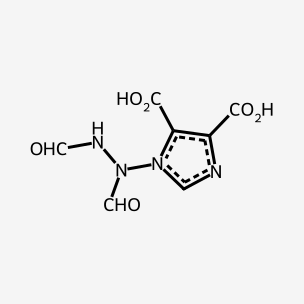 O=CNN(C=O)n1cnc(C(=O)O)c1C(=O)O